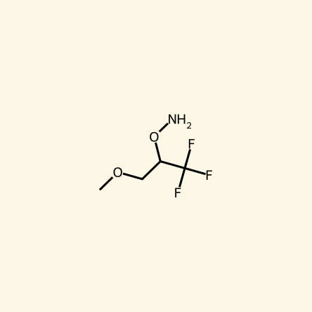 COCC(ON)C(F)(F)F